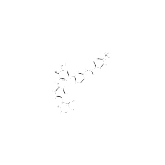 CN1CCN(C)C(c2ccc(Nc3nc(-c4cccc(NC(=O)c5ccc(C(C)(C)C)cc5)n4)cn(C)c3=O)cc2)C1=O